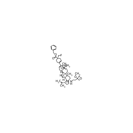 C=C(C)[C@@H]1CC[C@]2(NCCC3(OC)COC3)CC[C@]3(C)[C@H](CC[C@@H]4[C@@]5(C)CC=C(C6=CC[C@@](CF)(C(=O)OCc7ccccc7)CC6)C(C)(C)[C@@H]5CC[C@]43C)[C@@H]12